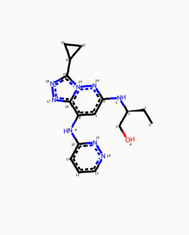 CC[C@@H](CO)Nc1cc(Nc2cccnn2)c2nnc(C3CC3)n2n1